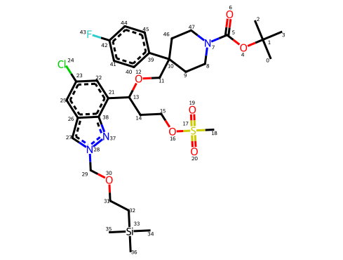 CC(C)(C)OC(=O)N1CCC(COC(CCOS(C)(=O)=O)c2cc(Cl)cc3cn(COCC[Si](C)(C)C)nc23)(c2ccc(F)cc2)CC1